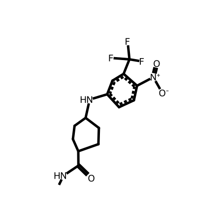 CNC(=O)C1CCC(Nc2ccc([N+](=O)[O-])c(C(F)(F)F)c2)CC1